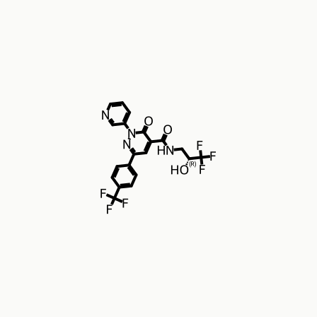 O=C(NC[C@@H](O)C(F)(F)F)c1cc(-c2ccc(C(F)(F)F)cc2)nn(-c2cccnc2)c1=O